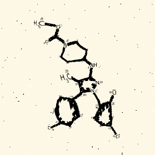 COC(=O)N1CCC(Nc2nn(-c3ccc(Cl)cc3Cl)c(-c3ccc(Cl)cc3)c2C)CC1